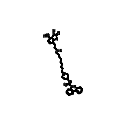 O=C(Nc1ccccc1-c1ccccc1)OC1CCN(CCCCCCCCCNCCc2ccc(O)c3[nH]c(=O)sc23)CC1